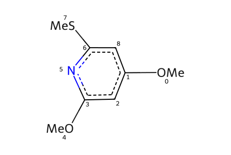 COc1cc(OC)nc(SC)c1